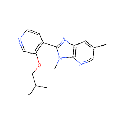 Cc1cnc2c(c1)nc(-c1ccncc1OCC(C)C)n2C